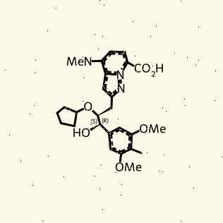 CNc1ccc(C(=O)O)n2nc(C[C@H](OC3CCCC3)[C@H](O)c3cc(OC)c(C)c(OC)c3)cc12